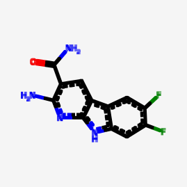 NC(=O)c1cc2c(nc1N)[nH]c1cc(F)c(F)cc12